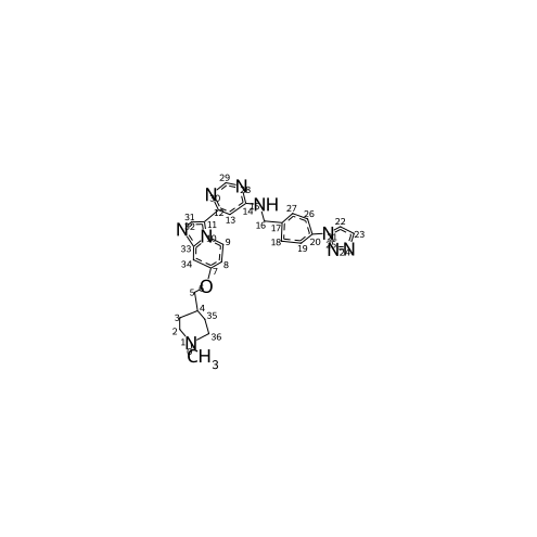 CN1CCC(COc2ccn3c(-c4cc(NCc5ccc(-n6ccnn6)cc5)ncn4)cnc3c2)CC1